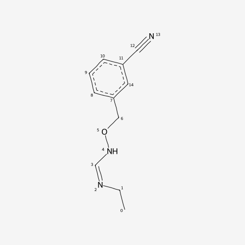 CC/N=C\NOCc1cccc(C#N)c1